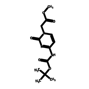 COC(=O)Cn1ccc(NC(=O)OC(C)(C)C)nc1=O